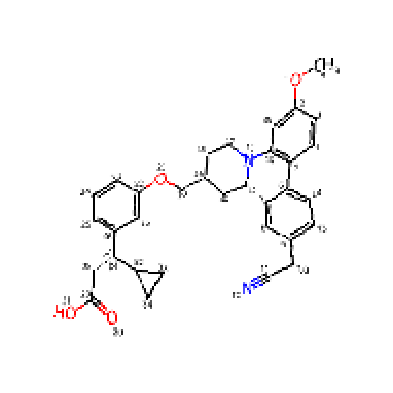 COc1ccc(-c2ccc(CC#N)cc2)c(N2CCC(COc3cccc([C@@H](CC(=O)O)C4CC4)c3)CC2)c1